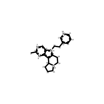 Cc1ncc2c(n1)c1c(n2CCc2cccnc2)CCN2CCCC12